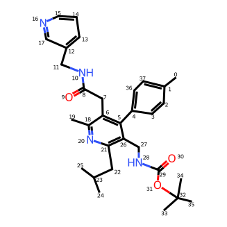 Cc1ccc(-c2c(CC(=O)NCc3cccnc3)c(C)nc(CC(C)C)c2CNC(=O)OC(C)(C)C)cc1